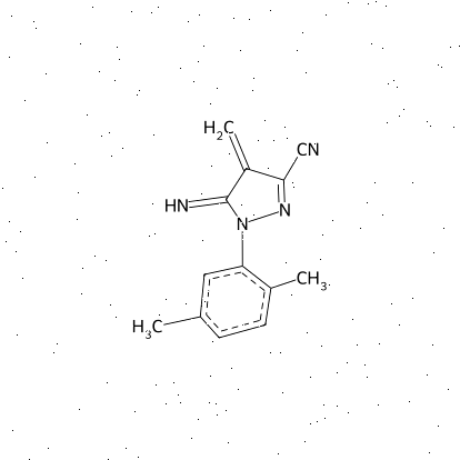 C=C1C(=N)N(c2cc(C)ccc2C)N=C1C#N